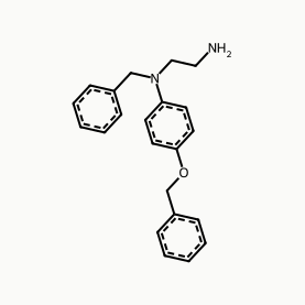 NCCN(Cc1ccccc1)c1ccc(OCc2ccccc2)cc1